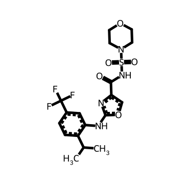 CC(C)c1ccc(C(F)(F)F)cc1Nc1nc(C(=O)NS(=O)(=O)N2CCOCC2)co1